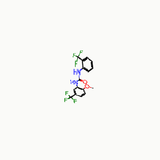 COc1ccc(C(F)(F)F)cc1NC(=O)Nc1ccccc1C(F)(F)F